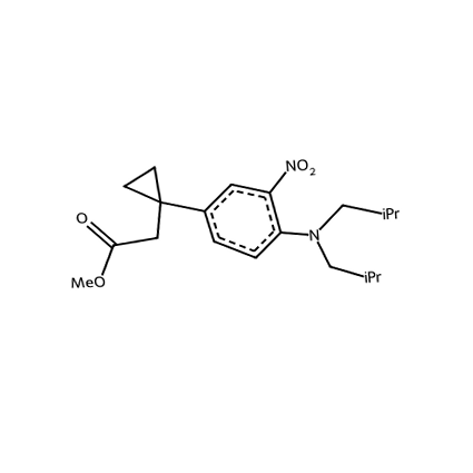 COC(=O)CC1(c2ccc(N(CC(C)C)CC(C)C)c([N+](=O)[O-])c2)CC1